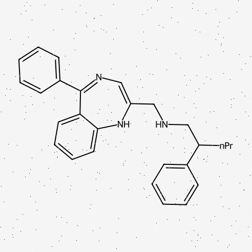 CCCC(CNCC1=CN=C(c2ccccc2)c2ccccc2N1)c1ccccc1